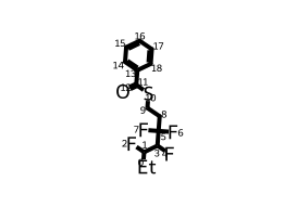 CCC(F)C(F)C(F)(F)CCSC(=O)c1ccccc1